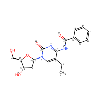 CCc1cn([C@H]2C[C@H](O)[C@@H](CO)O2)c(=O)nc1NC(=O)c1ccccc1